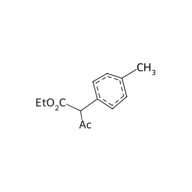 CCOC(=O)C(C(C)=O)c1ccc(C)cc1